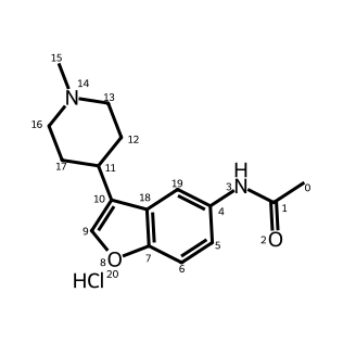 CC(=O)Nc1ccc2occ(C3CCN(C)CC3)c2c1.Cl